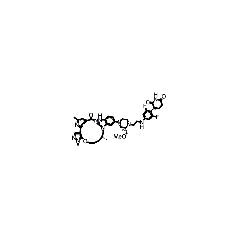 COC[C@@H]1CN(c2ccc3c(c2)N2C[C@H](C)CCCOc4c(cnn4C)-c4cc(cc(C)n4)C(=O)/N=C/2N3)CCN1CCNc1cc(F)c([C@H]2CCC(=O)NC2=O)c(F)c1